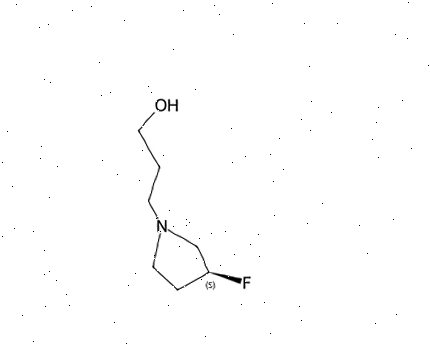 OCCCN1CC[C@H](F)C1